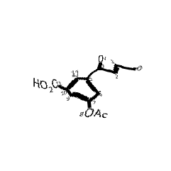 C/C=C/C(=O)c1cc(OC(C)=O)cc(C(=O)O)c1